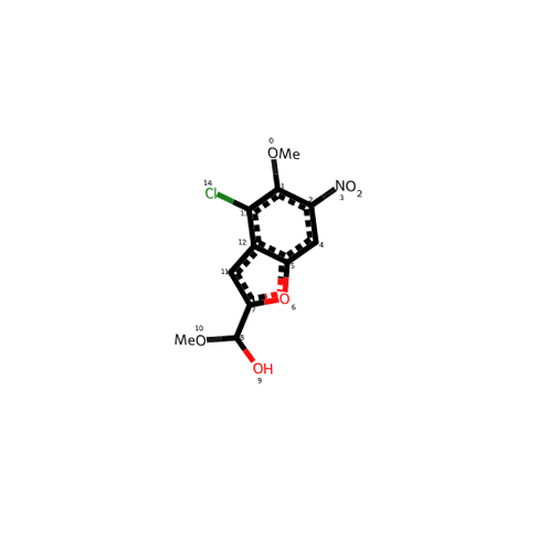 COc1c([N+](=O)[O-])cc2oc(C(O)OC)cc2c1Cl